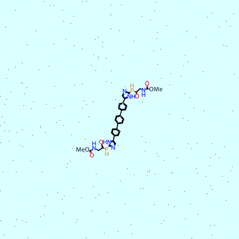 COC(=O)NCC(=O)Pc1ncc(-c2ccc(-c3ccc(-c4ccc(-c5cnc(PC(=O)CNC(=O)OC)[nH]5)cc4)cc3)cc2)[nH]1